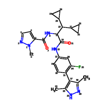 CCn1nccc1C(=O)NC(C(=O)Nc1ccc(-c2c(C)n[nH]c2C)c(F)c1)C(C1CC1)C1CC1